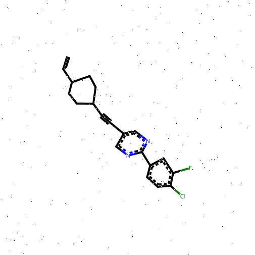 C=CC1CCC(C#Cc2cnc(-c3ccc(Cl)c(F)c3)nc2)CC1